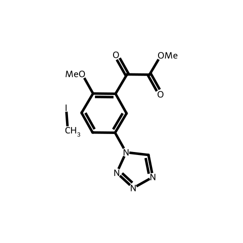 CI.COC(=O)C(=O)c1cc(-n2cnnn2)ccc1OC